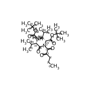 CCCC(=O)C(=O)N(C(=O)[C@@H](NC(=O)OC(C)(C)C)C(C)C)[C@@H](C(=O)OC(C)(C)C)C(N)C(C)C